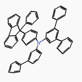 c1ccc(-c2cccc(N(c3ccc(C4(c5ccccc5)c5ccccc5-c5ccccc54)cc3)c3cc(-c4ccccc4)cc(-c4ccccc4)c3)c2)cc1